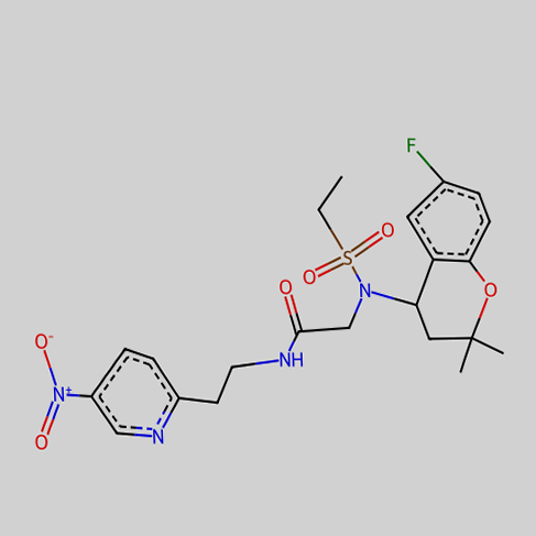 CCS(=O)(=O)N(CC(=O)NCCc1ccc([N+](=O)[O-])cn1)C1CC(C)(C)Oc2ccc(F)cc21